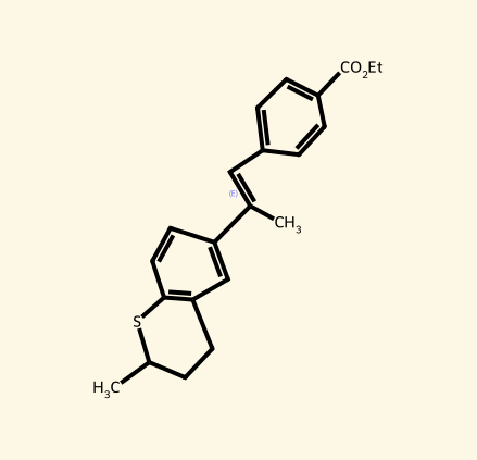 CCOC(=O)c1ccc(/C=C(\C)c2ccc3c(c2)CCC(C)S3)cc1